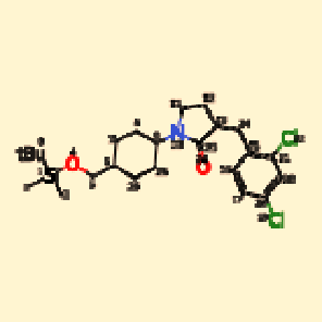 CC(C)(C)[Si](C)(C)OCC1CCC(N2CCC(Cc3ccc(Cl)cc3Cl)C2=O)CC1